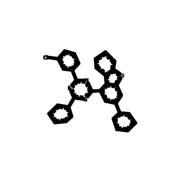 Clc1cccc(-c2nc(-c3ccccc3)nc(-c3cc(-c4ccccc4)cc4oc5ccccc5c34)n2)c1